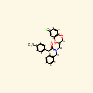 O=C(Cc1ccc([N+](=O)[O-])cc1)N(Cc1ccccc1)CC1COc2ccc(Cl)cc2O1